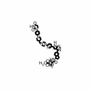 CC(C)(C)c1noc(C(=O)NC2CCc3cc(-c4ncnc5[nH]c(-c6ccc(N7CCN(CC8CCN(c9ccc(N%10CCC(=O)NC%10=O)cc9)CC8)CC7)nc6)cc45)ccc32)n1